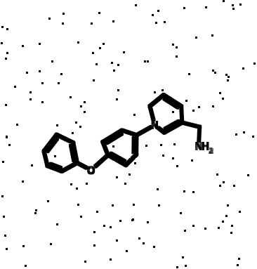 NCC1=CN(c2ccc(Oc3ccccc3)cc2)CC=C1